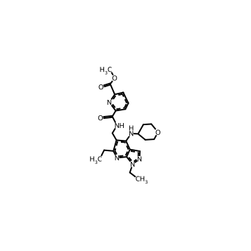 CCc1nc2c(cnn2CC)c(NC2CCOCC2)c1CNC(=O)c1cccc(C(=O)OC)n1